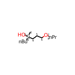 CCCC[Si](C)(O)CCCOCCC